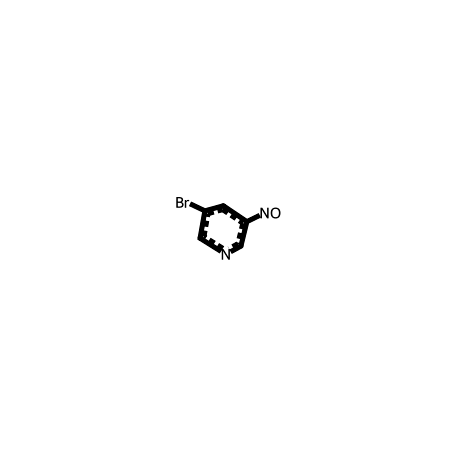 O=Nc1cncc(Br)c1